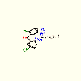 NC(/N=N/c1ccc(Cl)cc1C(=O)c1ccccc1Cl)C(=O)O